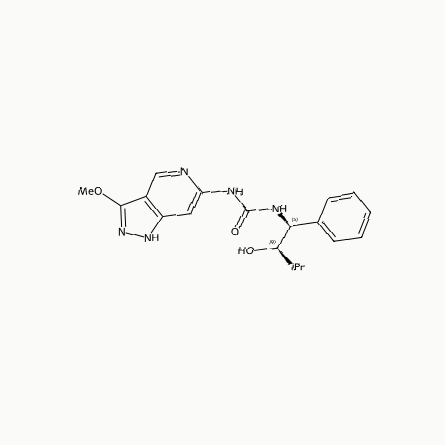 COc1n[nH]c2cc(NC(=O)N[C@@H](c3ccccc3)[C@H](O)C(C)C)ncc12